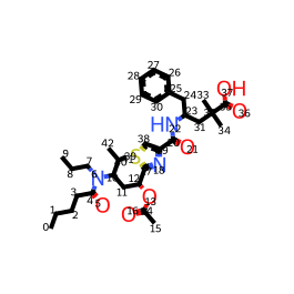 CCCCC(=O)N(CCC)C(CC(OC(C)=O)c1nc(C(=O)NC(Cc2ccccc2)CC(C)(C)C(=O)O)cs1)C(C)C